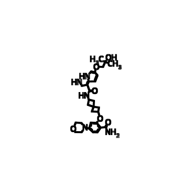 CC(C)(O)COC1=CN/C(=C(\C=N)C(=O)NC2CC3(C2)CC(Oc2cc(N4CCOCC4)ccc2C(N)=O)C3)C=C1